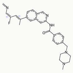 C=N/C=C(F)\C=C(/C)c1ccc2cnc(NC(=O)c3ccc(CN4CCN(C)CC4)cc3)cc2c1